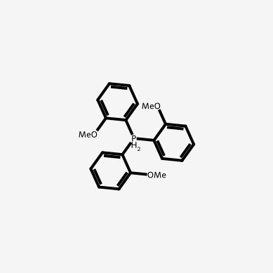 COc1ccccc1[PH2](c1ccccc1OC)c1ccccc1OC